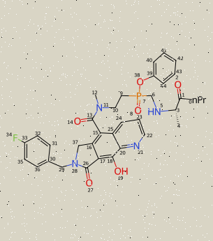 CCCC(=O)[C@H](C)NCP(=O)(CCN(C)C(=O)c1c2c(c(O)c3ncccc13)C(=O)N(Cc1ccc(F)cc1)C2)Oc1ccccc1